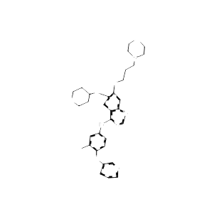 Cc1cc(Nc2ncnc3cc(OCCCN4CCOCC4)c(OC4CCOCC4)cc23)ccc1Oc1cccnc1